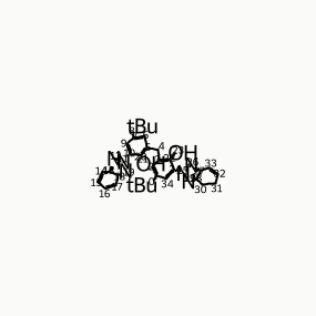 CC(C)(C)c1cc(Cc2cc(C(C)(C)C)cc(-n3nc4ccccc4n3)c2O)c(O)c(-n2nc3c(n2)CCC=C3)c1